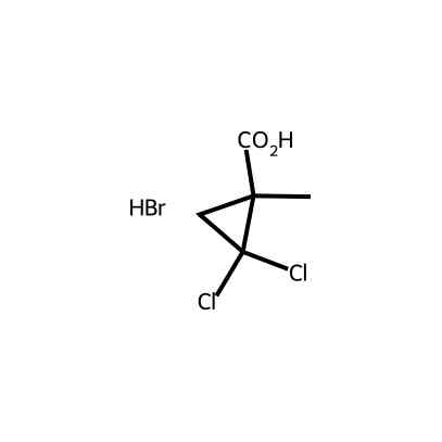 Br.CC1(C(=O)O)CC1(Cl)Cl